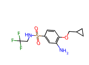 Nc1cc(S(=O)(=O)NCC(F)(F)F)ccc1OCC1CC1